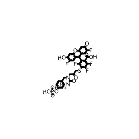 NC(=O)N(CC(=O)CSc1c(F)c(F)c(C(=O)O)c(-c2c3cc(F)c(=O)cc-3oc3cc(O)c(F)cc23)c1F)Cc1ccc(OP(=O)(O)O)cc1